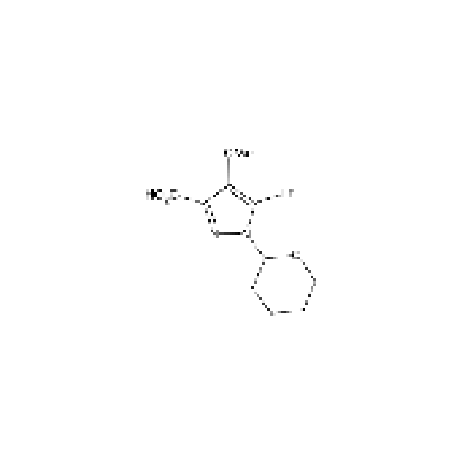 CCc1c(OC)c(C(=O)O)nn1C1CCCCO1